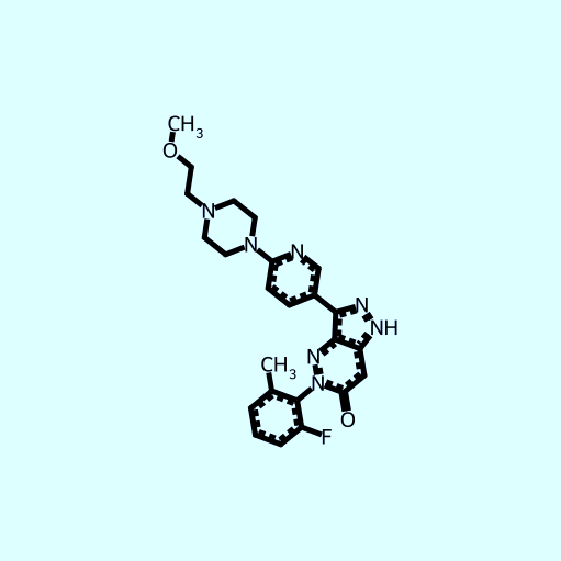 COCCN1CCN(c2ccc(-c3n[nH]c4cc(=O)n(-c5c(C)cccc5F)nc34)cn2)CC1